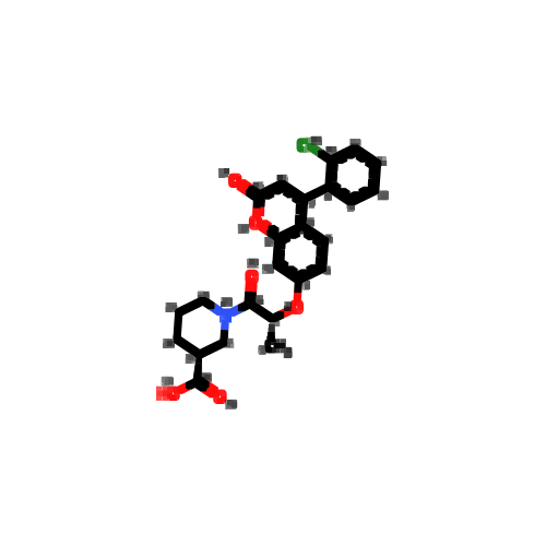 C[C@@H](Oc1ccc2c(-c3ccccc3Cl)cc(=O)oc2c1)C(=O)N1CCC[C@H](C(=O)O)C1